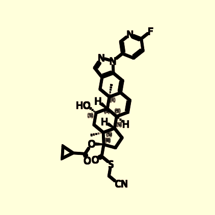 C[C@]12Cc3cnn(-c4ccc(F)nc4)c3C=C1C=C[C@@H]1[C@@H]2[C@@H](O)C[C@@]2(C)[C@H]1CC[C@]2(OC(=O)C1CC1)C(=O)SCC#N